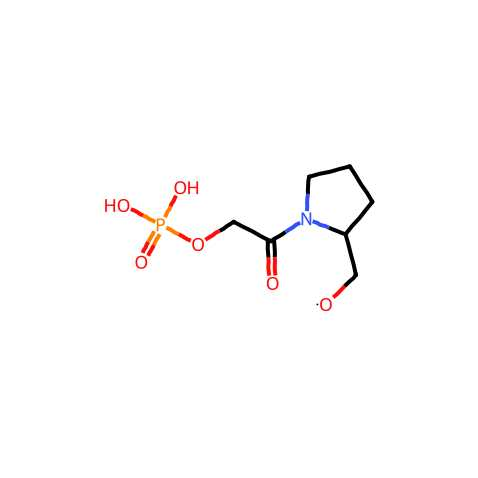 [O]CC1CCCN1C(=O)COP(=O)(O)O